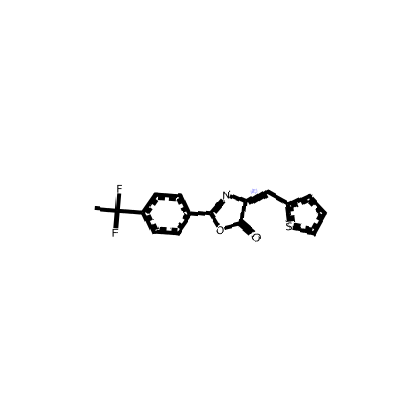 CC(F)(F)c1ccc(C2=N/C(=C/c3cccs3)C(=O)O2)cc1